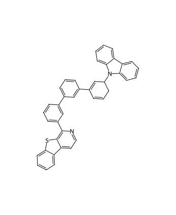 C1=CC(c2cccc(-c3cccc(-c4nccc5c4sc4ccccc45)c3)c2)=CC(n2c3ccccc3c3ccccc32)C1